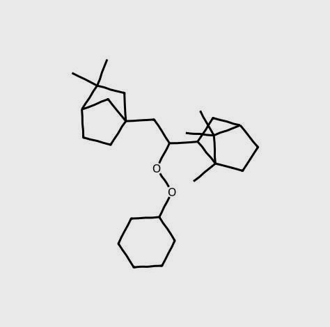 CC1(C)CC2(CC(OOC3CCCCC3)C3CC4CCC3(C)C4(C)C)CCC1C2